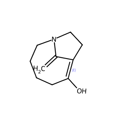 C=C1/C2=C(/O)CCCCN1CC2